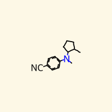 CC1CCCC1N(C)c1ccc(C#N)cc1